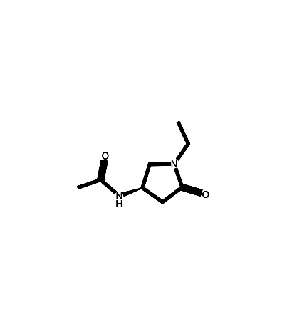 CCN1C[C@H](NC(C)=O)CC1=O